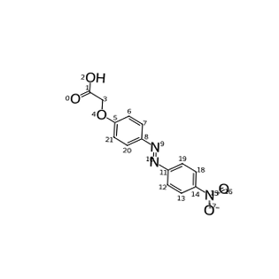 O=C(O)COc1ccc(N=Nc2ccc([N+](=O)[O-])cc2)cc1